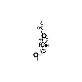 CCOC(=O)CCc1ccc2c(c1)N(C)C(=O)C(NC(=O)c1ncn(Cc3ccccc3F)n1)CO2